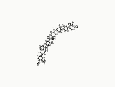 Cc1cc(N2CCC(=O)NC2=O)ccc1N1CCN(C[C@H]2CC[C@H](NC(=O)c3ccc(Nc4ncnc5c4CCN(c4ccc(C#N)c(C(F)(F)F)c4)C5)nc3F)CC2)CC1